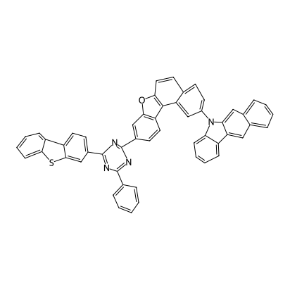 c1ccc(-c2nc(-c3ccc4c(c3)oc3ccc5ccc(-n6c7ccccc7c7cc8ccccc8cc76)cc5c34)nc(-c3ccc4c(c3)sc3ccccc34)n2)cc1